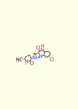 C[C@@H](Nc1ccc(C#N)n(C)c1=O)c1nc2cc(Cl)ccc2[nH]c1=O